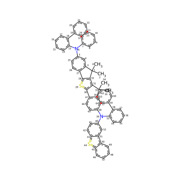 CC1(C)c2cc(N(c3ccccc3)c3ccccc3-c3ccccc3)ccc2-c2sc3c(c21)C(C)(C)c1cc(N(c2ccc4sc5ccccc5c4c2)c2ccccc2-c2ccccc2)ccc1-3